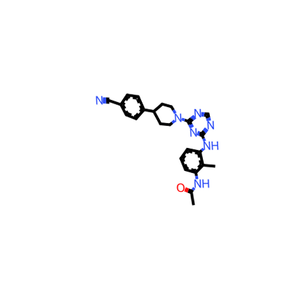 CC(=O)Nc1cccc(Nc2ncnc(N3CCC(c4ccc(C#N)cc4)CC3)n2)c1C